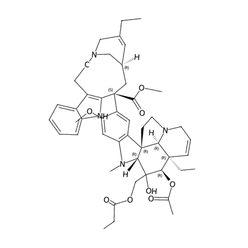 CCC(=O)OCC1(O)[C@H](OC(C)=O)[C@]2(CC)C=CCN3CC[C@@]4(c5cc([C@@]6(C(=O)OC)C[C@@H]7C=C(CC)CN(CCc8c6[nH]c6ccccc86)C7)c(OC)cc5N(C)[C@@H]14)[C@@H]32